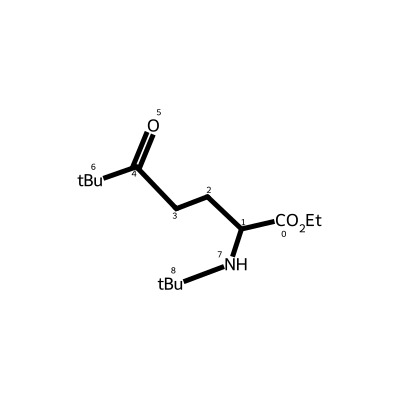 CCOC(=O)C(CCC(=O)C(C)(C)C)NC(C)(C)C